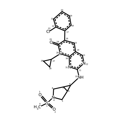 CS(=O)(=O)N1CC2C(C1)C2Nc1ncc2cc(-c3ccccc3Cl)c(=O)n(C3CC3)c2n1